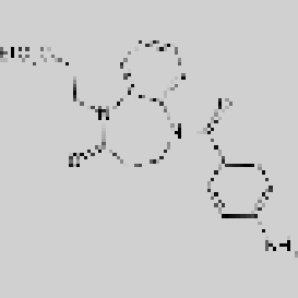 CCOC(=O)CCN1C(=O)CCN(C(=O)c2ccc(N)cc2)c2ccccc21